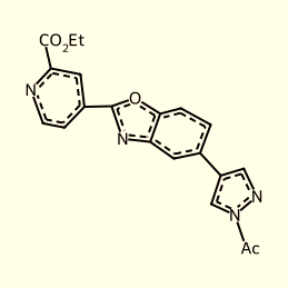 CCOC(=O)c1cc(-c2nc3cc(-c4cnn(C(C)=O)c4)ccc3o2)ccn1